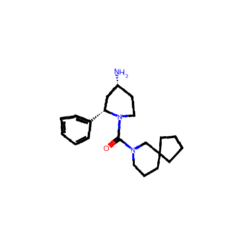 N[C@@H]1CCN(C(=O)N2CCCC3(CCCC3)C2)[C@H](c2ccccc2)C1